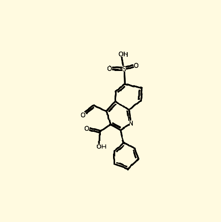 O=Cc1c(C(=O)O)c(-c2ccccc2)nc2ccc(S(=O)(=O)O)cc12